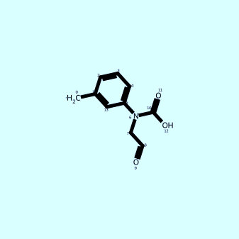 [CH2]c1cccc(N(CC=O)C(=O)O)c1